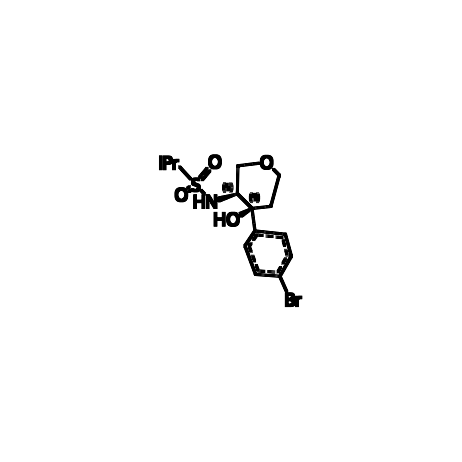 CC(C)S(=O)(=O)N[C@H]1COCC[C@]1(O)c1ccc(Br)cc1